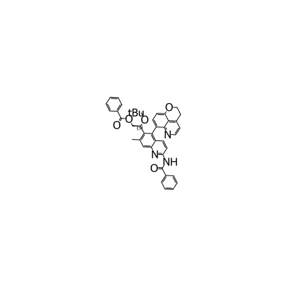 Cc1cc2nc(NC(=O)c3ccccc3)ccc2c(-c2ccc3c4c(ccnc24)CCO3)c1[C@@H](COC(=O)c1ccccc1)OC(C)(C)C